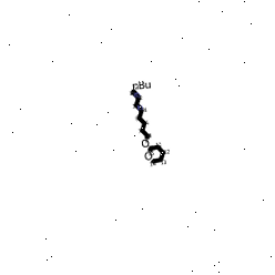 CCCC/C=C/C=C/CCCCOC1CCCCO1